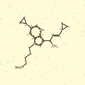 COCCCCn1cc(C(C)/C=C/C2CC2)c2ncc(C3CC3)cc21